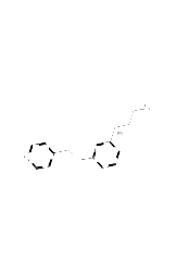 NCC[C@@H](O)c1cccc(OCc2ccncc2)c1